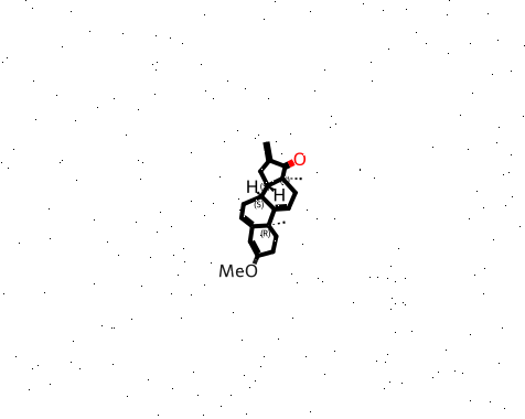 C=C1C[C@H]2[C@@H]3CC=C4C=C(OC)CC[C@]4(C)C3=CC[C@]2(C)C1=O